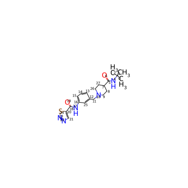 CC(C)(C)NC(=O)C1CCN(Cc2cccc(NC(=O)c3cnns3)c2)CC1